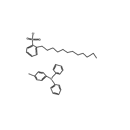 CCCCCCCCCCCCc1ccccc1S(=O)(=O)[O-].Cc1ccc([S+](c2ccccc2)c2ccccc2)cc1